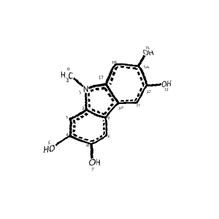 Cn1c2cc(O)c(O)cc2c2cc(O)c(O)cc21